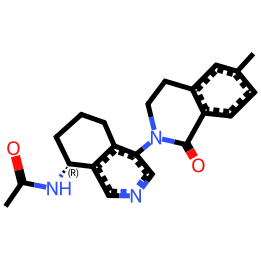 CC(=O)N[C@@H]1CCCc2c1cncc2N1CCc2cc(C)ccc2C1=O